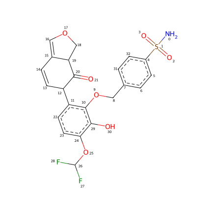 NS(=O)(=O)c1ccc(COc2c(C3C=CC4=COCC4C3=O)ccc(OC(F)F)c2O)cc1